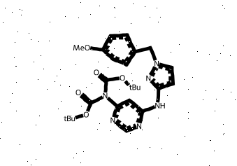 COc1ccc(Cn2ccc(Nc3cc(N(C(=O)OC(C)(C)C)C(=O)OC(C)(C)C)ncn3)n2)cc1